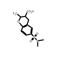 CN(C)S(=O)(=O)c1ccc2c(c1)CC(C(=O)O)C(C(F)(F)F)O2